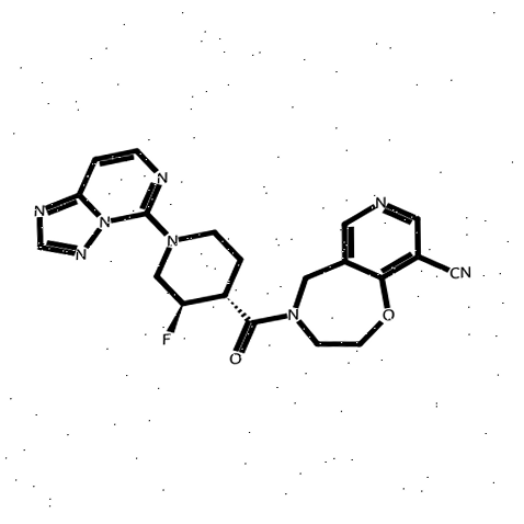 N#Cc1cncc2c1OCCN(C(=O)[C@H]1CCN(c3nccc4ncnn34)C[C@@H]1F)C2